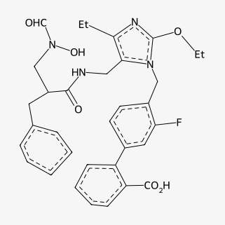 CCOc1nc(CC)c(CNC(=O)C(Cc2ccccc2)CN(O)C=O)n1Cc1ccc(-c2ccccc2C(=O)O)cc1F